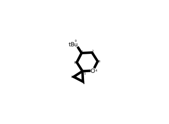 CC(C)(C)C1CCOC2(CC2)C1